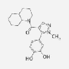 Cn1ncc(C(=O)N2CCCC3CCCCC32)c1-c1ccc(O)c(O)c1